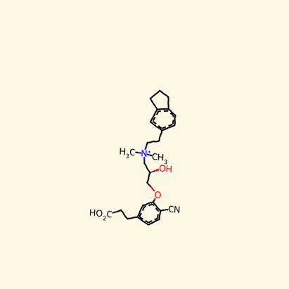 C[N+](C)(CCc1ccc2c(c1)CCC2)C[C@@H](O)COc1cc(CCC(=O)O)ccc1C#N